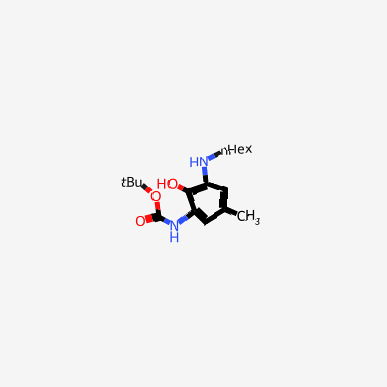 CCCCCCNc1cc(C)cc(NC(=O)OC(C)(C)C)c1O